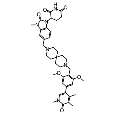 COc1cc(-c2cn(C)c(=O)c(C)c2C)cc(OC)c1CN1CCC2(CCN(Cc3ccc4c(c3)n(C)c(=O)n4C3CCC(=O)NC3=O)CC2)CC1